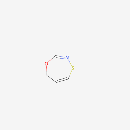 C1=CSN=COC1